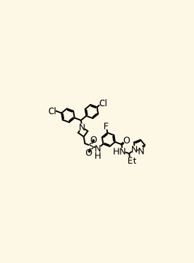 CCC(NC(=O)c1cc(F)cc(NS(=O)(=O)CC2CN(C(c3ccc(Cl)cc3)c3ccc(Cl)cc3)C2)c1)n1cccn1